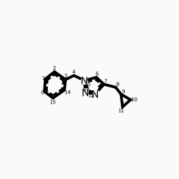 c1ccc(Cn2cc(CC3CC3)nn2)cc1